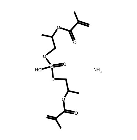 C=C(C)C(=O)OC(C)COP(=O)(O)OCC(C)OC(=O)C(=C)C.N